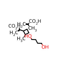 C=C(C(=O)O)C1CCC1C.C=C(C)C(=O)O.OCCCCO